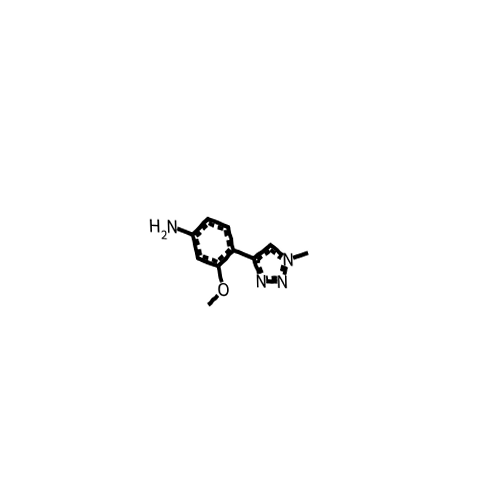 COc1cc(N)ccc1-c1cn(C)nn1